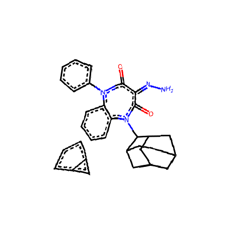 NN=c1c(=O)n(-c2ccccc2)c2ccccc2n(C2C3CC4CC(C3)CC2C4)c1=O.c1cc2cc-2c1